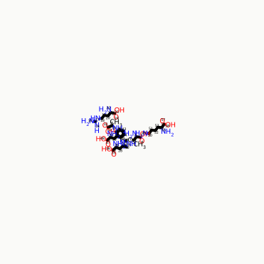 CC(C)C(N)C(=O)O.CC(N)C(=O)O.N=C(N)NCCCC(N)C(=O)O.NC(Cc1c[nH]cn1)C(=O)O.NC(Cc1ccccc1)C(=O)O.NCCCCC(N)C(=O)O